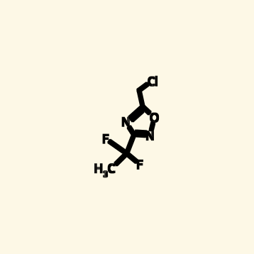 CC(F)(F)c1noc(CCl)n1